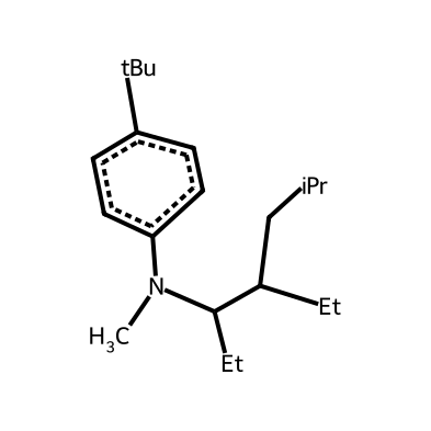 CCC(CC(C)C)C(CC)N(C)c1ccc(C(C)(C)C)cc1